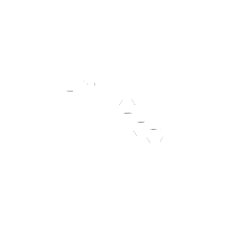 O=C1CNC2(CCC(Cc3c(F)cc(-c4ccc5cccnc5c4)cc3F)CC2)CC1C1CC1